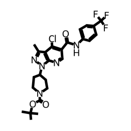 Cc1nn(C2CCN(C(=O)OC(C)(C)C)CC2)c2ncc(C(=O)Nc3ccc(C(F)(F)F)cc3)c(Cl)c12